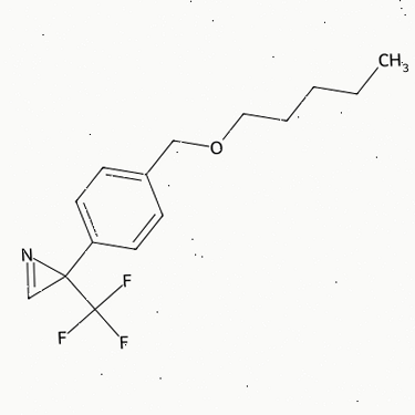 CCCCCOCc1ccc(C2(C(F)(F)F)C=N2)cc1